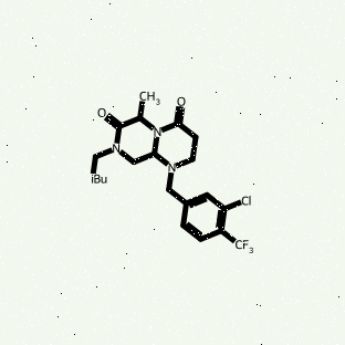 CCC(C)CN1CC2N(Cc3ccc(C(F)(F)F)c(Cl)c3)CCC(=O)N2C(C)C1=O